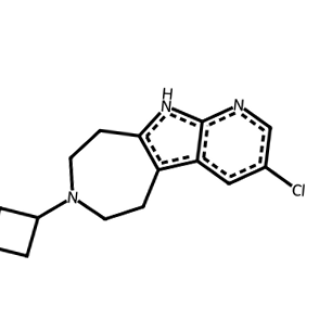 Clc1cnc2[nH]c3c(c2c1)CCN(C1COC1)CC3